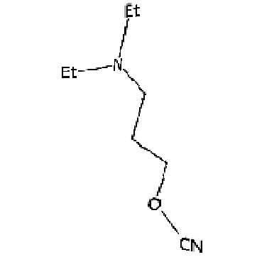 CCN(CC)CCCOC#N